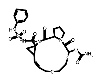 NC(=O)OC1CCCCC/C=C\C2CC2(C(=O)NS(=O)(=O)Nc2ccccc2)NC(=O)C2CCCN2C1=O